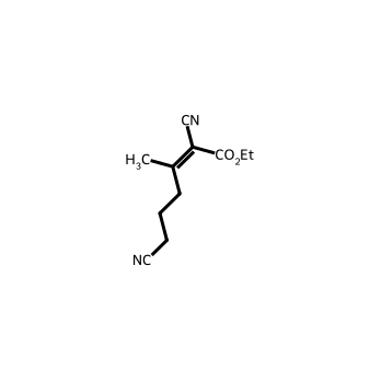 CCOC(=O)C(C#N)=C(C)CCCC#N